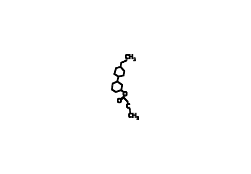 CCCCC(=O)OC1CCCC(C2CCC(CCC)CC2)C1